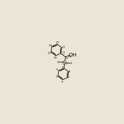 C[Si](C)(c1ccccc1)C(O)c1ccccc1